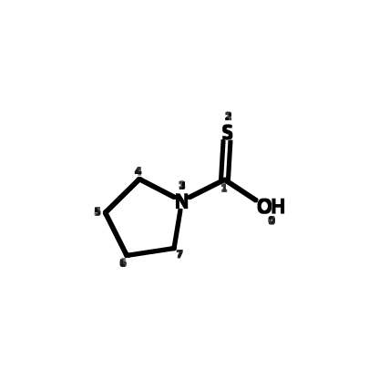 OC(=S)N1CCCC1